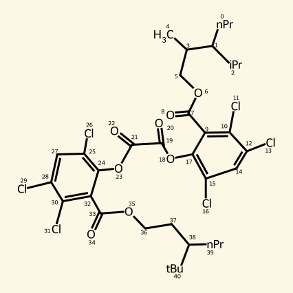 CCCC(C(C)C)C(C)COC(=O)c1c(Cl)c(Cl)cc(Cl)c1OC(=O)C(=O)Oc1c(Cl)cc(Cl)c(Cl)c1C(=O)OCCC(CCC)C(C)(C)C